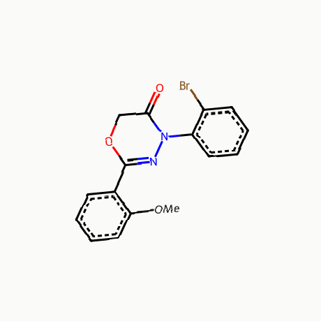 COc1ccccc1C1=NN(c2ccccc2Br)C(=O)CO1